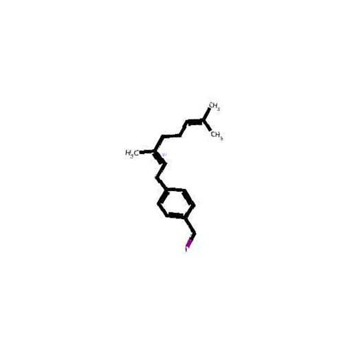 CC(C)=CCC/C(C)=C/Cc1ccc(CI)cc1